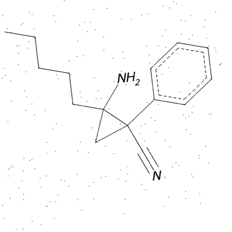 CCCCCC1(N)CC1(C#N)c1ccccc1